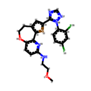 COCCNc1ccc2c(n1)-c1sc(-c3ncnn3-c3ccc(F)cc3F)cc1CCO2